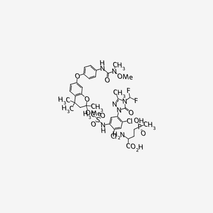 CON(C)C(=O)Nc1ccc(Oc2ccc3c(c2)OC(C)(OC)CC3(C)C)cc1.CP(=O)(O)CCC(N)C(=O)O.Cc1nn(-c2cc(NS(C)(=O)=O)c(Cl)cc2Cl)c(=O)n1C(F)F